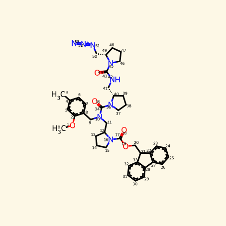 COc1cc(C)ccc1CN(CC1CCCN1C(=O)OCC1c2ccccc2-c2ccccc21)C(=O)N1CCC[C@H]1CNC(=O)N1CCC[C@H]1CN=[N+]=[N-]